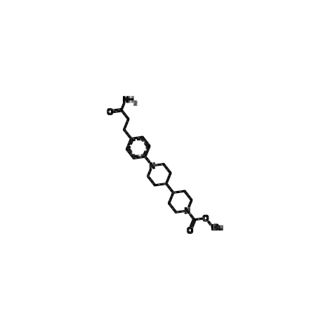 CC(C)(C)OC(=O)N1CCC(C2CCN(c3ccc(CCC(N)=O)cc3)CC2)CC1